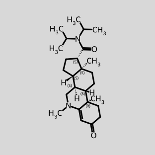 CC(C)N(C(=O)[C@H]1CC[C@H]2[C@@H]3CN(C)C4=CC(=O)CC[C@]4(C)[C@H]3CC[C@]12C)C(C)C